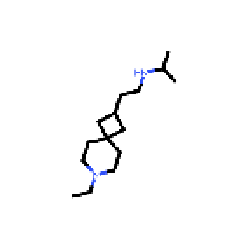 CCN1CCC2(CC1)CC(CCNC(C)C)C2